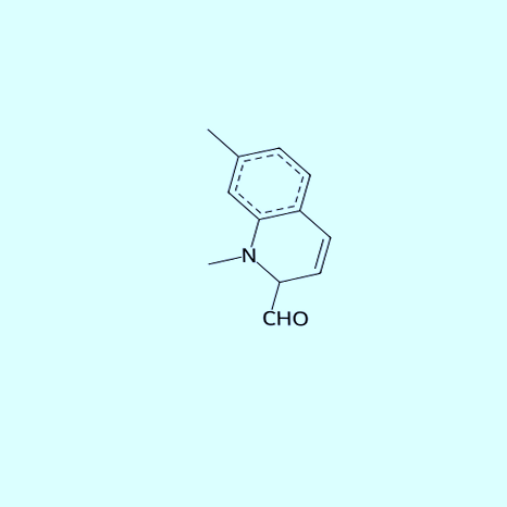 Cc1ccc2c(c1)N(C)C(C=O)C=C2